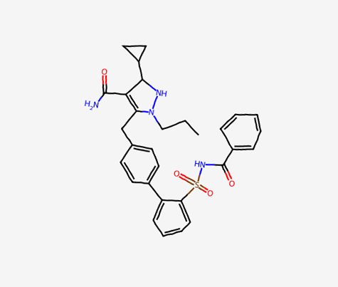 CCCN1NC(C2CC2)C(C(N)=O)=C1Cc1ccc(-c2ccccc2S(=O)(=O)NC(=O)c2ccccc2)cc1